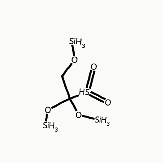 O=[SH](=O)C(CO[SiH3])(O[SiH3])O[SiH3]